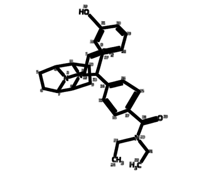 C=CCN1C2CCC1C1CCC2N1C(c1ccc(C(=O)N(CC)CC)cc1)c1cccc(O)c1